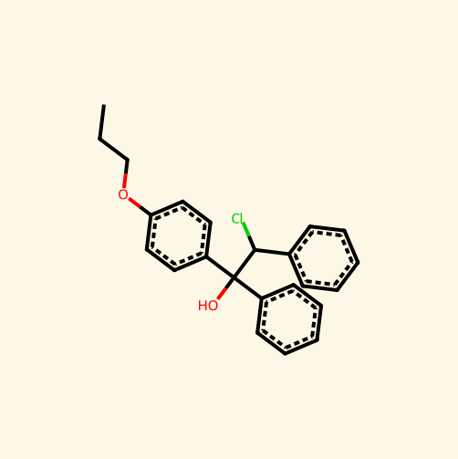 CCCOc1ccc(C(O)(c2ccccc2)C(Cl)c2ccccc2)cc1